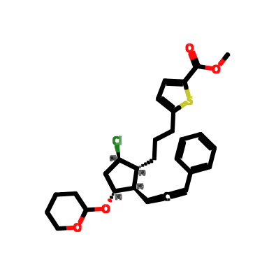 COC(=O)c1ccc(CCC[C@@H]2[C@@H](C=C=Cc3ccccc3)[C@H](OC3CCCCO3)C[C@H]2Cl)s1